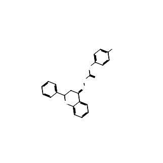 O=C(NN=C1CC(c2ccccc2)Nc2ccccc21)Nc1ccc(C(F)(F)F)cc1